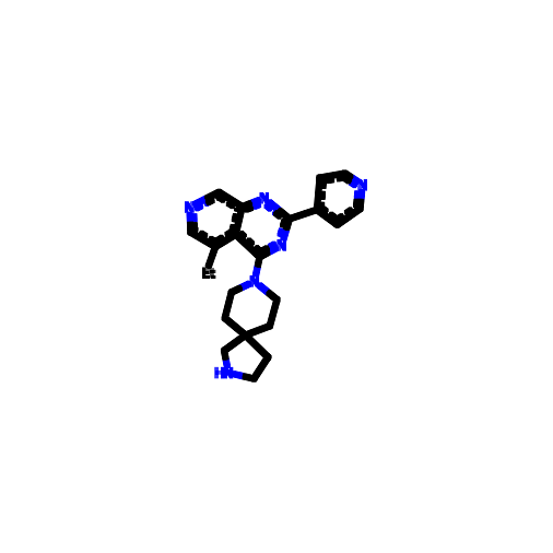 CCc1cncc2nc(-c3ccncc3)nc(N3CCC4(CCNC4)CC3)c12